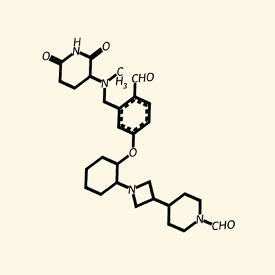 CN(Cc1cc(OC2CCCCC2N2CC(C3CCN(C=O)CC3)C2)ccc1C=O)C1CCC(=O)NC1=O